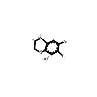 Cl.Fc1cc2c(cc1Br)NCCO2